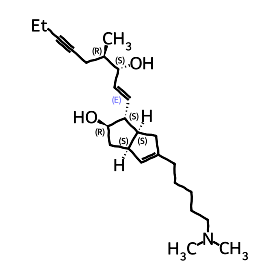 CCC#CC[C@@H](C)[C@H](O)/C=C/[C@@H]1[C@H]2CC(CCCCCN(C)C)=C[C@H]2C[C@H]1O